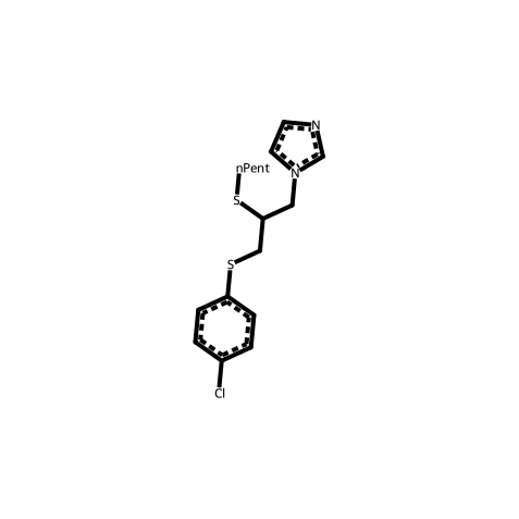 CCCCCSC(CSc1ccc(Cl)cc1)Cn1ccnc1